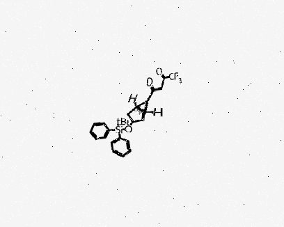 CC(C)(C)[Si](OC1C[C@@H]2C(C(=O)CC(=O)C(F)(F)F)[C@@H]2C1)(c1ccccc1)c1ccccc1